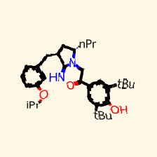 CCC[C@H]1C[C@H](Cc2cccc(OC(C)C)c2)C(=N)N1CC(=O)c1cc(C(C)(C)C)c(O)c(C(C)(C)C)c1